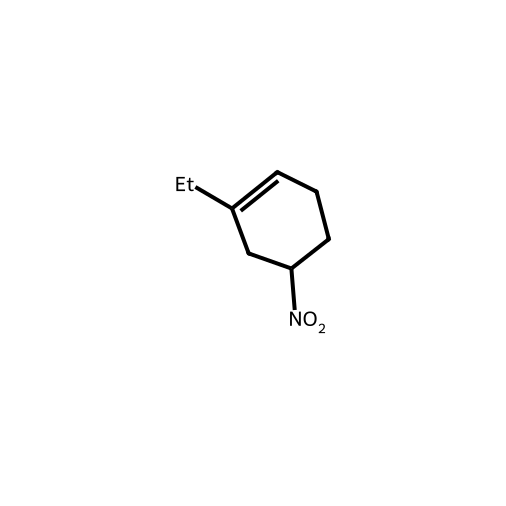 CCC1=CCCC([N+](=O)[O-])C1